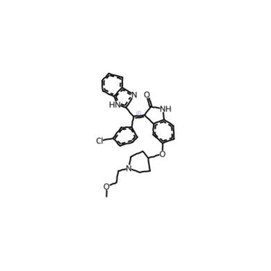 COCCN1CCC(Oc2ccc3c(c2)/C(=C(\c2cccc(Cl)c2)c2nc4ccccc4[nH]2)C(=O)N3)CC1